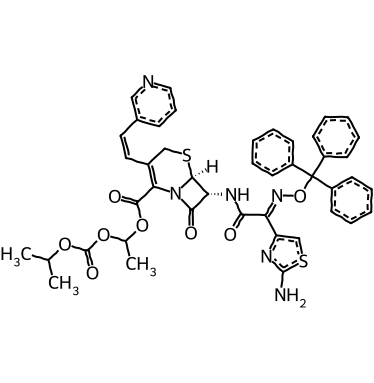 CC(C)OC(=O)OC(C)OC(=O)C1=C(/C=C\c2cccnc2)CS[C@H]2[C@H](NC(=O)C(=NOC(c3ccccc3)(c3ccccc3)c3ccccc3)c3csc(N)n3)C(=O)N12